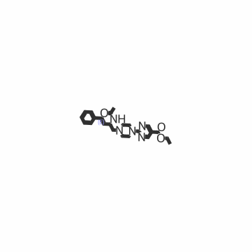 CCOC(=O)c1cnc(N2CCN(CC(/C=C/c3ccccc3)NC(C)=O)CC2)nc1